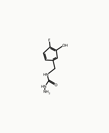 NNC(=O)NCc1ccc(F)c(O)c1